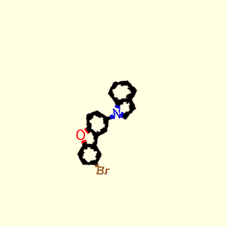 Brc1ccc2oc3ccc(-n4ccc5ccccc54)cc3c2c1